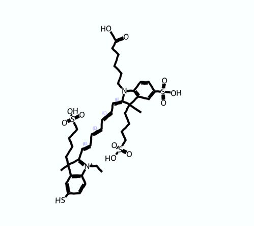 CC[N+]1=C(/C=C/C=C/C=C/C=C2/N(CCCCCC(=O)O)c3ccc(S(=O)(=O)O)cc3C2(C)CCCCS(=O)(=O)O)C(C)(CCCCS(=O)(=O)O)c2cc(S)ccc21